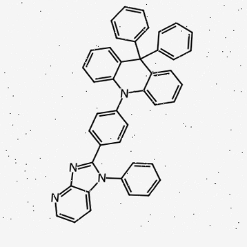 c1ccc(-n2c(-c3ccc(N4c5ccccc5C(c5ccccc5)(c5ccccc5)c5ccccc54)cc3)nc3ncccc32)cc1